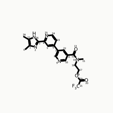 Cc1nc(-c2cc(-c3cncc(C(=O)N(C)CCOC(=O)C(F)(F)F)c3)ccn2)[nH]c1C